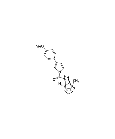 COc1ccc(-c2ccn(C(=O)N[C@@H]3C4CCN(CC4)[C@H]3C)c2)cc1